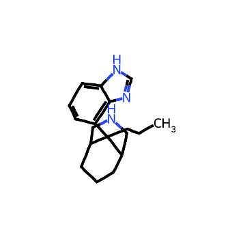 CCCC1(c2cccc3[nH]cnc23)C2CCCC1CNC2